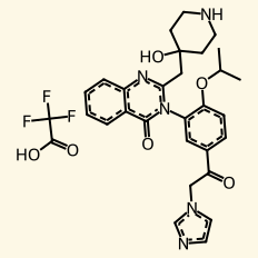 CC(C)Oc1ccc(C(=O)Cn2ccnc2)cc1-n1c(CC2(O)CCNCC2)nc2ccccc2c1=O.O=C(O)C(F)(F)F